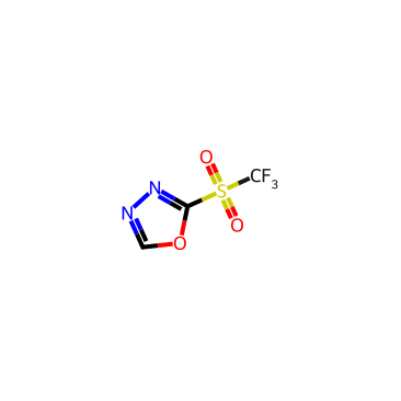 O=S(=O)(c1nnco1)C(F)(F)F